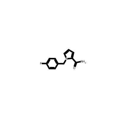 NC(=O)c1cccn1Cc1ccc(F)cc1